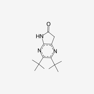 CC(C)(C)c1nc2c(nc1C(C)(C)C)NC(=O)C2